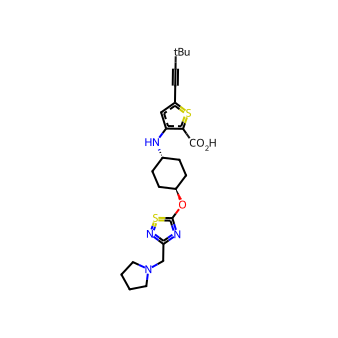 CC(C)(C)C#Cc1cc(N[C@H]2CC[C@H](Oc3nc(CN4CCCC4)ns3)CC2)c(C(=O)O)s1